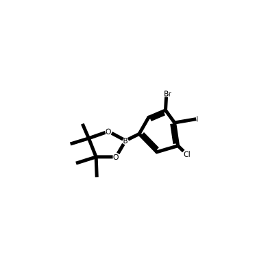 CC1(C)OB(c2cc(Cl)c(I)c(Br)c2)OC1(C)C